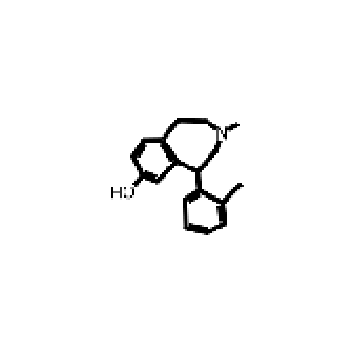 Cc1ccccc1C1CN(C)CCc2ccc(O)cc21